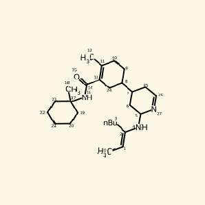 C/C=C(\CCCC)NC1CC(C2CCC(C)=C(C(=O)NC3(C)CCCCC3)C2)CC=N1